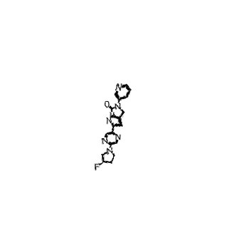 O=C1N(c2cccnc2)Cc2cc(-c3cnc(N4CC[C@@H](F)C4)cn3)nn21